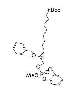 CCCCCCCCCCCCCCCCCC[C@@H](COP(=O)(OC)Oc1ccccc1Cl)OCc1ccccc1